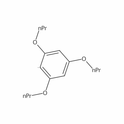 CCCOc1[c]c(OCCC)cc(OCCC)c1